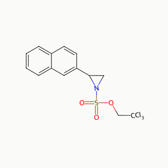 O=S(=O)(OCC(Cl)(Cl)Cl)N1CC1c1ccc2ccccc2c1